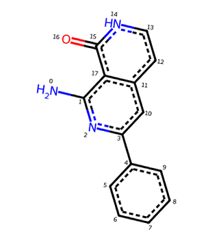 Nc1nc(-c2ccccc2)cc2cc[nH]c(=O)c12